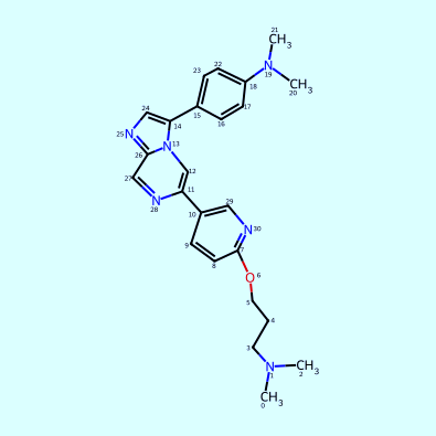 CN(C)CCCOc1ccc(-c2cn3c(-c4ccc(N(C)C)cc4)cnc3cn2)cn1